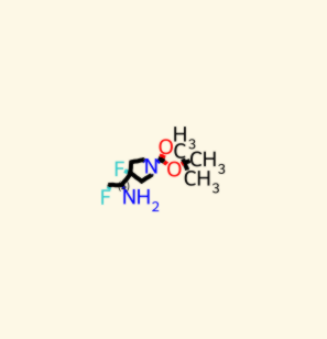 CC(C)(C)OC(=O)N1CCC(F)([C@@H](N)CF)CC1